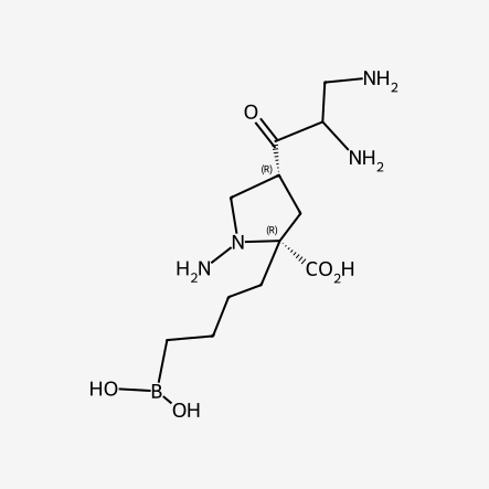 NCC(N)C(=O)[C@H]1CN(N)[C@@](CCCCB(O)O)(C(=O)O)C1